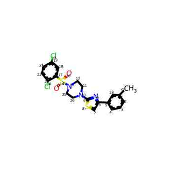 Cc1cccc(-c2csc(N3CCN(S(=O)(=O)c4cc(Cl)ccc4Cl)CC3)n2)c1